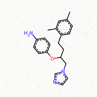 Cc1ccc(CCC(Cn2ccnc2)Oc2ccc(N)cc2)c(C)c1